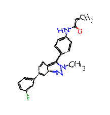 C=CC(=O)Nc1ccc(-c2c3ccc(-c4cccc(F)c4)cc3nn2C)cc1